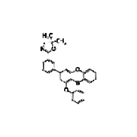 CC1(C)CN=C(c2cccc(-c3cc4c5c(c3)Oc3ccccc3B5c3ccccc3O4)c2)O1